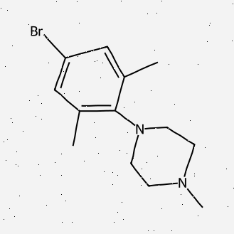 Cc1cc(Br)cc(C)c1N1CCN(C)CC1